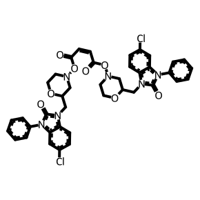 O=C(/C=C\C(=O)ON1CCOC(Cn2c(=O)n(-c3ccccc3)c3cc(Cl)ccc32)C1)ON1CCOC(Cn2c(=O)n(-c3ccccc3)c3cc(Cl)ccc32)C1